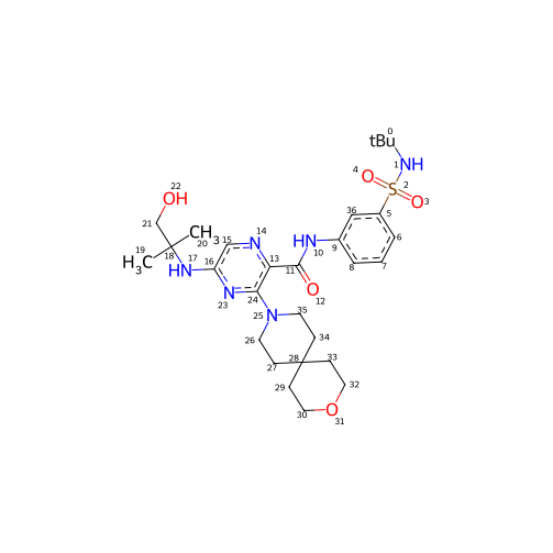 CC(C)(C)NS(=O)(=O)c1cccc(NC(=O)c2ncc(NC(C)(C)CO)nc2N2CCC3(CCOCC3)CC2)c1